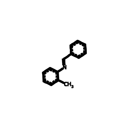 Cc1ccccc1/N=C/c1ccccc1